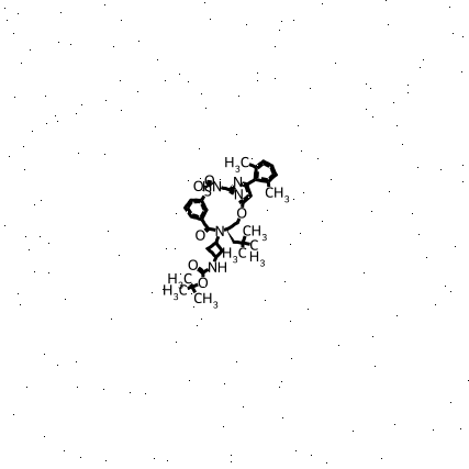 Cc1cccc(C)c1-c1cc2nc(n1)NS(=O)(=O)c1cccc(c1)C(=O)N(C1CC(NC(=O)OC(C)(C)C)C1)[C@H](CC(C)(C)C)CO2